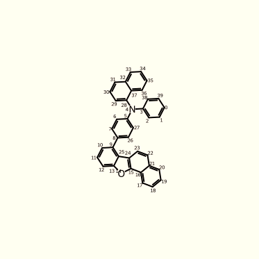 c1ccc(N(c2ccc(-c3cccc4oc5c6ccccc6ccc5c34)cc2)c2cccc3ccccc23)cc1